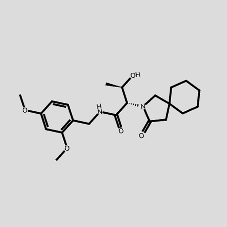 COc1ccc(CNC(=O)[C@H]([C@@H](C)O)N2CC3(CCCCC3)CC2=O)c(OC)c1